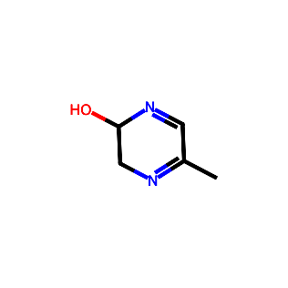 CC1=NCC(O)N=C1